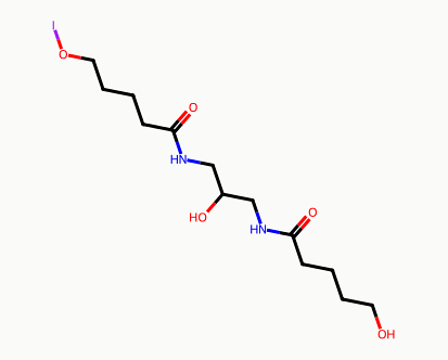 O=C(CCCCO)NCC(O)CNC(=O)CCCCOI